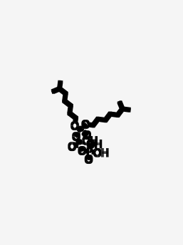 CC(C)CCCCCOP(=O)(OCCCCCC(C)C)OP(=O)(O)OP(=O)(O)O